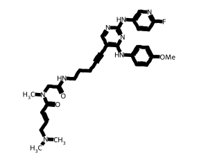 COc1ccc(Nc2nc(Nc3ccc(F)nc3)ncc2C#CCCCNC(=O)CN(C)C(=O)/C=C/CN(C)C)cc1